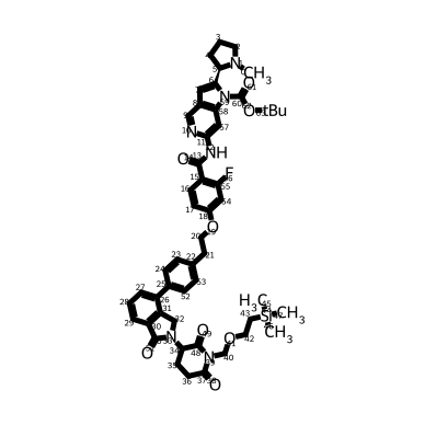 CN1CCC[C@@H]1c1cc2cnc(NC(=O)c3ccc(OCCc4ccc(-c5cccc6c5CN(C5CCC(=O)N(COCC[Si](C)(C)C)C5=O)C6=O)cc4)cc3F)cc2n1C(=O)OC(C)(C)C